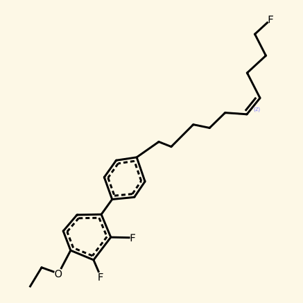 CCOc1ccc(-c2ccc(CCCCC/C=C\CCCF)cc2)c(F)c1F